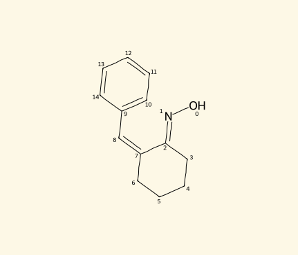 ON=C1CCCCC1=Cc1ccccc1